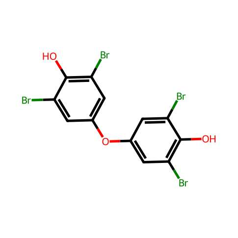 Oc1c(Br)cc(Oc2cc(Br)c(O)c(Br)c2)cc1Br